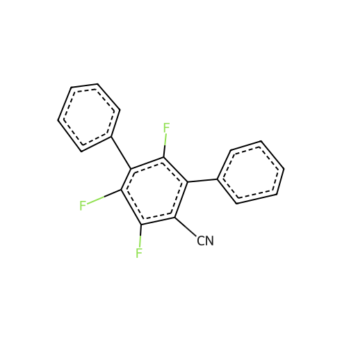 N#Cc1c(F)c(F)c(-c2ccccc2)c(F)c1-c1ccccc1